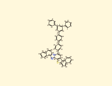 c1ccc(-c2cc(-c3ccccc3)cc(-c3ccc(-c4ccc(-c5cc6c(sc7ccc8ccccc8c76)c6nc7c8ccccc8ccc7n56)cc4)cc3)c2)cc1